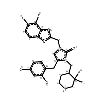 O=c1n(Cc2nc3ccc(F)c(F)c3[nH]2)cc(Cc2ccc(Cl)cc2Cl)n1CC1CCNCC1(F)F